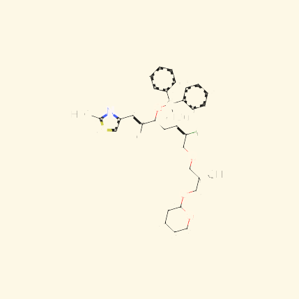 C/C(=C\c1csc(C)n1)[C@H](C/C=C(/Cl)COC[C@H](C)COC1CCCCO1)O[Si](c1ccccc1)(c1ccccc1)C(C)(C)C